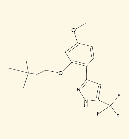 COc1ccc(-c2cc(C(F)(F)F)[nH]n2)c(OCCC(C)(C)C)c1